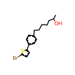 CC(O)CCCCCc1ccc(-c2ccc(Br)s2)cc1